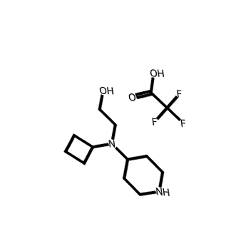 O=C(O)C(F)(F)F.OCCN(C1CCC1)C1CCNCC1